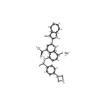 Cc1c(-c2cc(C(=O)[O-])c3c(OC(C)c4ccc(C5COC5)cc4)ccc(C)c3n2)sc2ccccc12.[Na+]